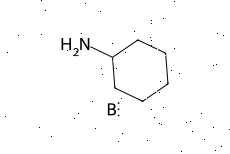 NC1CCCCC1.[B]